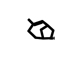 CC1=CC2CNC(CC1)C2